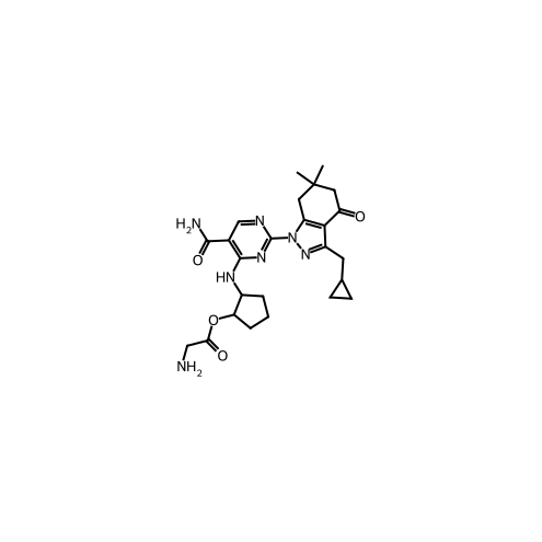 CC1(C)CC(=O)c2c(CC3CC3)nn(-c3ncc(C(N)=O)c(NC4CCCC4OC(=O)CN)n3)c2C1